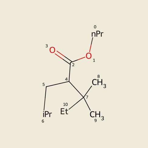 CCCOC(=O)C(CC(C)C)C(C)(C)CC